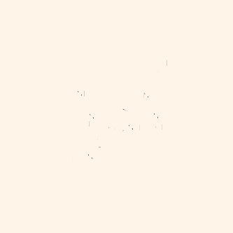 CCOc1cccc2c1nc([C@H](CCCNC(=N)CCl)NC(=O)c1cccc3c1C(=O)N(CC)C3)n2C